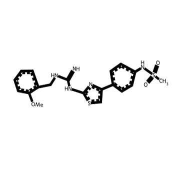 COc1ccccc1CNC(=N)Nc1nc(-c2ccc(NS(C)(=O)=O)cc2)cs1